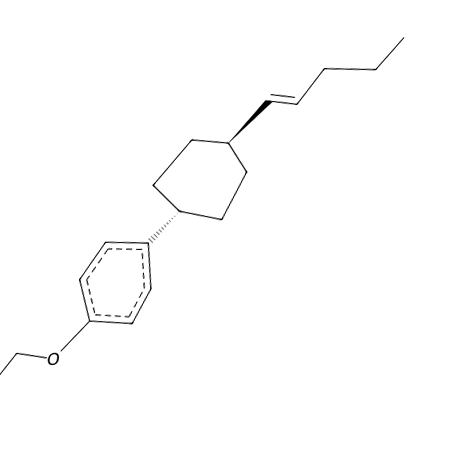 CCC/C=C/[C@H]1CC[C@H](c2ccc(OCC)cc2)CC1